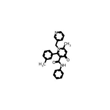 Cc1cccc(-c2c(C(=O)Nc3ccccc3)c(=O)cc(C)n2Cc2cccnc2)c1